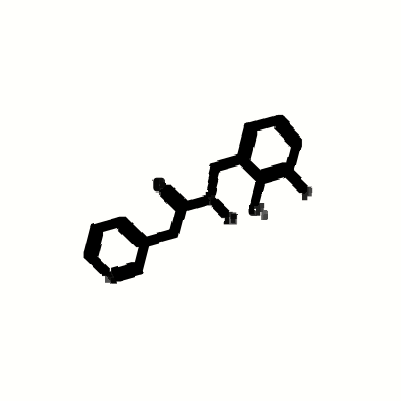 CCN(Cc1cccc(F)c1C(F)(F)F)C(=O)Cc1cccnc1